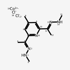 CNN=C(C)c1cc(C)cc(C(C)=NNC)n1.[Cl-].[Cl-].[Co+2]